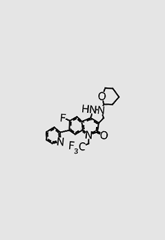 O=c1c2c(c3cc(F)c(-c4ccccn4)cc3n1CC(F)(F)F)NN(C1CCCCO1)C2